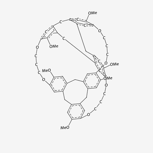 COc1cc2c3cc1OCCCOc1cc4c(cc1OC)Cc1cc5c(OC)cc1Cc1cc(c(OC)cc1C4)OCCCOc1cc(c(cc1OC)Cc1cc(c(OC)cc1C3)OCCCO5)C2